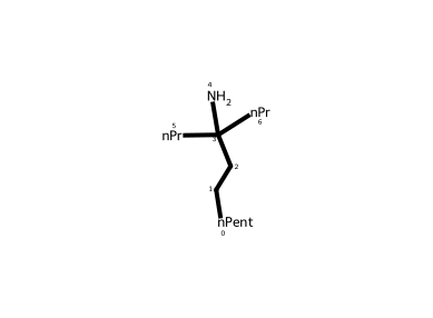 CCCCCCCC(N)(CCC)CCC